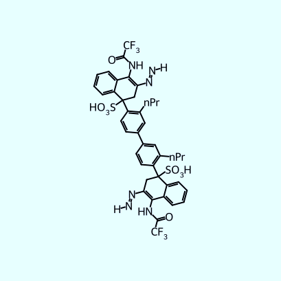 [H]/N=N/C1=C(NC(=O)C(F)(F)F)c2ccccc2C(c2ccc(-c3ccc(C4(S(=O)(=O)O)CC(/N=N/[H])=C(NC(=O)C(F)(F)F)c5ccccc54)c(CCC)c3)cc2CCC)(S(=O)(=O)O)C1